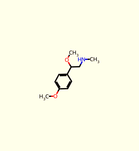 CNCC(OC)c1ccc(OC)cc1